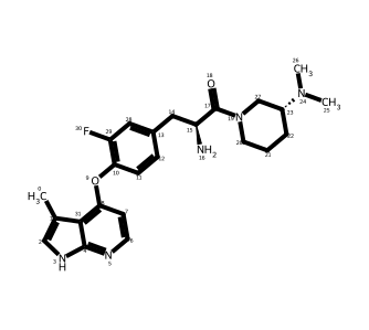 Cc1c[nH]c2nccc(Oc3ccc(C[C@H](N)C(=O)N4CCC[C@@H](N(C)C)C4)cc3F)c12